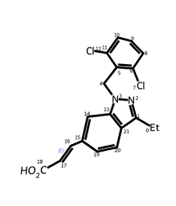 CCc1nn(Cc2c(Cl)cccc2Cl)c2cc(/C=C/C(=O)O)ccc12